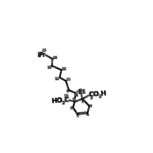 CCC1(C(=O)O)CC=CCC1(CCCCCCCC(C)C)C(=O)O